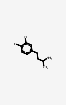 CC(N)CCc1ccc(Cl)c(Cl)c1